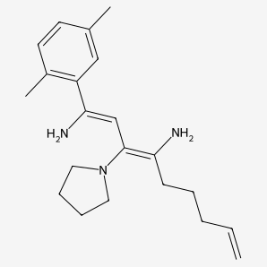 C=CCCC/C(N)=C(/C=C(\N)c1cc(C)ccc1C)N1CCCC1